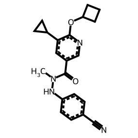 CN(Nc1ccc(C#N)cc1)C(=O)c1cnc(OC2CCC2)c(C2CC2)c1